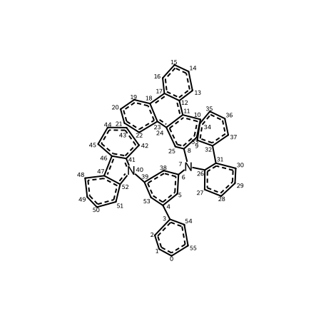 c1ccc(-c2cc(N(c3ccc4c5ccccc5c5ccccc5c4c3)c3ccccc3-c3ccccc3)cc(-n3c4ccccc4c4ccccc43)c2)cc1